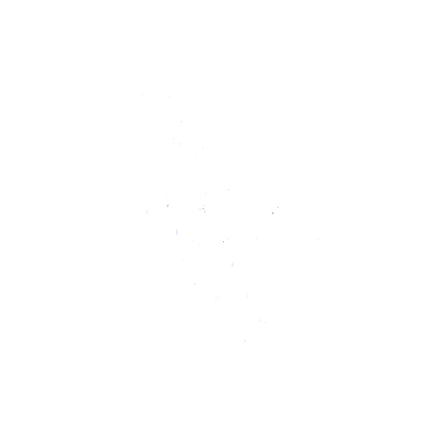 C\C=C/C=C(C)/C(C)=C(\B(c1ccc(-c2ccccc2)cc1)c1ccc(-c2ccccc2)cc1)c1ccc(-c2ccccc2)cc1